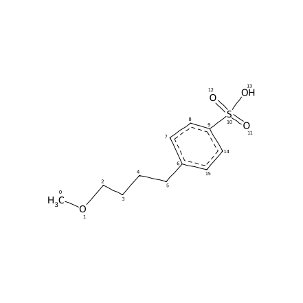 COCCCCc1ccc(S(=O)(=O)O)cc1